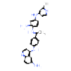 C=C(Nc1ccc(Nc2ccnc(C)c2)cc1N)c1ccc(Nc2ccnc3ccc(N)cc23)cc1